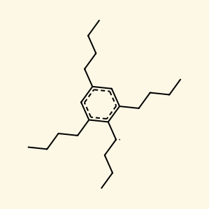 CCC[CH]c1c(CCCC)cc(CCCC)cc1CCCC